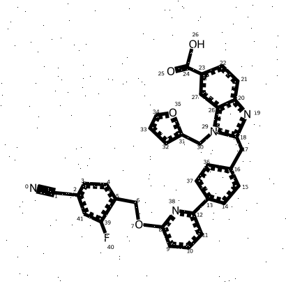 N#Cc1ccc(COc2cccc(-c3ccc(Cc4nc5ccc(C(=O)O)cc5n4Cc4ccco4)cc3)n2)c(F)c1